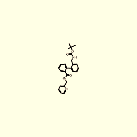 CC(C)(C)OC(=O)NCc1ccccc1-c1ccccc1C(=O)NCc1ccccn1